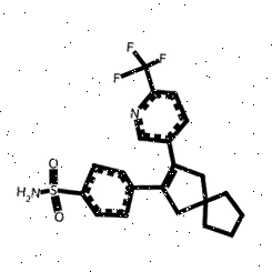 NS(=O)(=O)c1ccc(C2=C(c3ccc(C(F)(F)F)nc3)CC3(CCCC3)C2)cc1